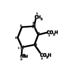 CCCCN1CCN(C)C(C(=O)O)C1C(=O)O